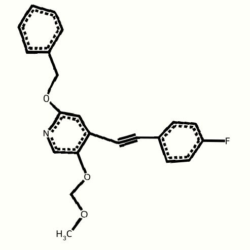 COCOc1cnc(OCc2ccccc2)cc1C#Cc1ccc(F)cc1